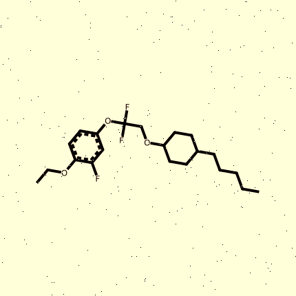 CCCCCC1CCC(OCC(F)(F)Oc2ccc(OCC)c(F)c2)CC1